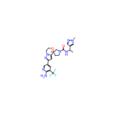 CC(NC(=O)N1CC[C@]2(C1)OCCn1nc(-c3cnc(N)c(C(F)(F)F)c3)cc12)c1cnn(C)c1